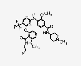 COc1cc(C(=O)NC2CCN(C)CC2)ccc1Nc1ncc(C(F)(F)F)c(Oc2cccc3c2C(=O)N(CCF)C3C)n1